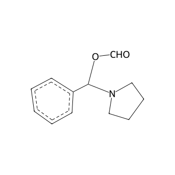 O=COC(c1ccccc1)N1CCCC1